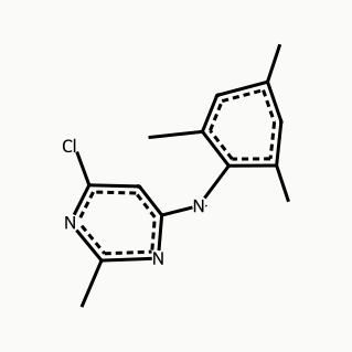 Cc1cc(C)c([N]c2cc(Cl)nc(C)n2)c(C)c1